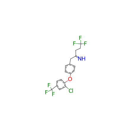 N=C(CCC(F)(F)F)Cc1ccc(Oc2ccc(C(F)(F)F)cc2Cl)cc1